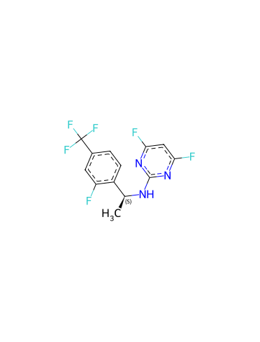 C[C@H](Nc1nc(F)cc(F)n1)c1ccc(C(F)(F)F)cc1F